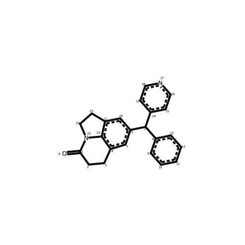 O=C1CCc2cc(C(c3ccccc3)c3ccncc3)cc3c2N1CC3